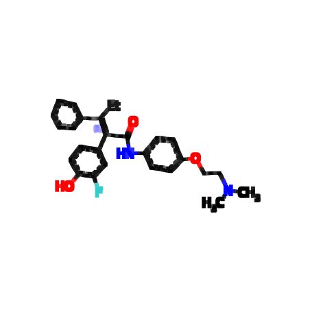 CC/C(=C(\C(=O)Nc1ccc(OCCN(C)C)cc1)c1ccc(O)c(F)c1)c1ccccc1